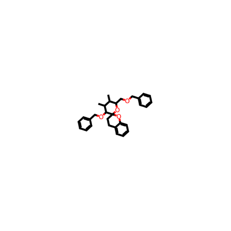 CC1C(COCc2ccccc2)OC2(CCc3ccccc3O2)C(OCc2ccccc2)C1C